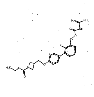 CCOC(=O)N1CC(COc2ncc(-c3cccc(COC(=O)NC(=N)N)c3F)cn2)C1